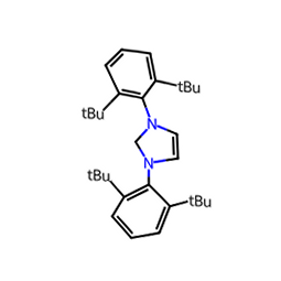 CC(C)(C)c1cccc(C(C)(C)C)c1N1C=CN(c2c(C(C)(C)C)cccc2C(C)(C)C)C1